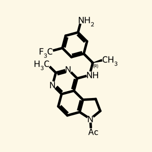 CC(=O)N1CCc2c1ccc1nc(C)nc(N[C@H](C)c3cc(N)cc(C(F)(F)F)c3)c21